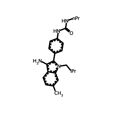 CCCNC(=O)Nc1ccc(-c2c(N)c3ccc(C)cc3n2CC(C)C)cc1